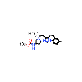 Cc1ccc2c(c1)CCc1c(C[C@@H](C(=O)O)N3CC[C@H](NC(=O)OC(C)(C)C)C3)ncn1-2